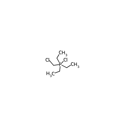 CCP(Cl)(CC)(CC)CCl